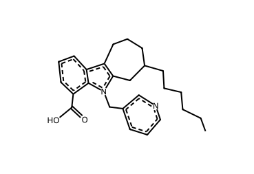 CCCCCCC1CCCc2c(n(Cc3cccnc3)c3c(C(=O)O)cccc23)C1